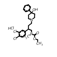 CCOC(=O)N(C)CC(CCN1CCC(O)(c2ccccc2)CC1)c1ccc(Cl)c(Cl)c1.Cl